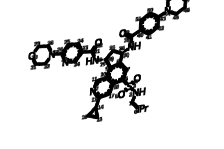 CC(C)CNS(=O)(=O)c1cc2c(c3cnc(C4CC4)cc13)[C@H](NC(=O)c1ccc(N3CCOCC3)nc1)C[C@H]2NC(=O)c1ccc(N2CCOCC2)cc1